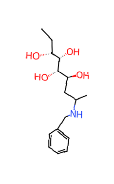 CC[C@@H](O)[C@H](O)[C@@H](O)[C@@H](O)CC(C)NCc1ccccc1